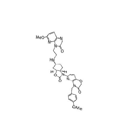 COc1ccc(CN2C(=O)COc3ccc(N4C(=O)O[C@H]5C[C@@H](NCCn6c(=O)cnc7ccc(OC)nc76)CC[C@@H]54)nc32)cc1